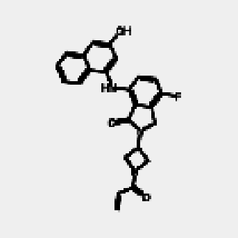 C=CC(=O)N1CC(N2Cc3c(F)ccc(Nc4cc(O)cc5ccccc45)c3C2=O)C1